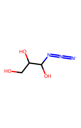 [N-]=[N+]=NC(O)C(O)CO